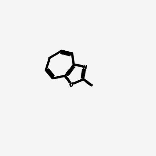 Cc1nc2c(o1)C=CCC=C2